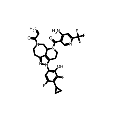 C=CC(=O)N1CCc2nn(-c3cc(F)c(C4CC4)c(F)c3O)c3c2[C@H](C1)N(C(=O)c1cnc(C(F)(F)F)cc1N)CC3